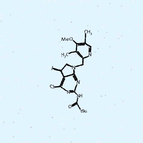 COc1c(C)cnc(CN2CC(I)c3c(Cl)nc(NC(=O)C(C)(C)C)nc32)c1C